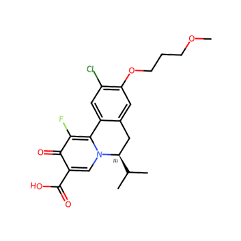 COCCCOc1cc2c(cc1Cl)-c1c(F)c(=O)c(C(=O)O)cn1[C@H](C(C)C)C2